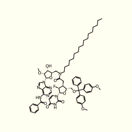 CCCCCCCCCCCCCCCCCN(C[C@H]1O[C@H](n2cnc3c(NC(=O)c4ccccc4)ncnc32)[C@H](OC)[C@@H]1O)C(=O)C[C@@H]1[C@H](F)[C@@H](n2ccc(=O)[nH]c2=O)O[C@H]1COC(c1ccccc1)(c1ccc(OC)cc1)c1ccc(OC)cc1